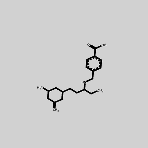 C=C1CC(C)CC(CCC(CC)NCc2ccc(C(=O)O)cc2)C1